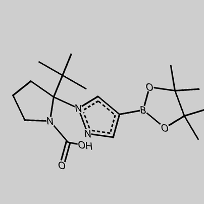 CC(C)(C)C1(n2cc(B3OC(C)(C)C(C)(C)O3)cn2)CCCN1C(=O)O